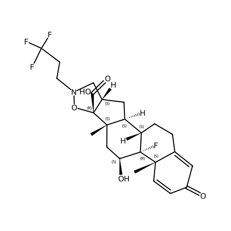 C[C@]12C=CC(=O)C=C1CC[C@H]1[C@@H]3C[C@H]4CN(CCC(F)(F)F)O[C@@]4(C(=O)O)[C@@]3(C)C[C@H](O)[C@@]12F